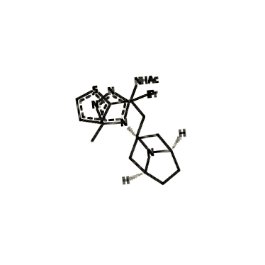 CC(=O)NC(CCN1[C@@H]2CC[C@H]1C[C@H](n1c(C)nnc1C(C)C)C2)c1cccs1